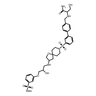 CNS(=O)(=O)c1cccc(OCC(O)CNC2COC3(CCN(S(=O)(=O)c4cccc(-c5ccc(CNC(CO)C(N)=O)cc5)c4)CC3)C2)c1